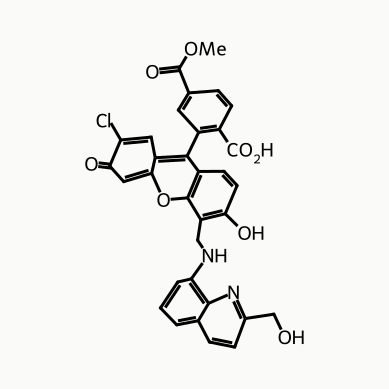 COC(=O)c1ccc(C(=O)O)c(-c2c3cc(Cl)c(=O)cc-3oc3c(CNc4cccc5ccc(CO)nc45)c(O)ccc23)c1